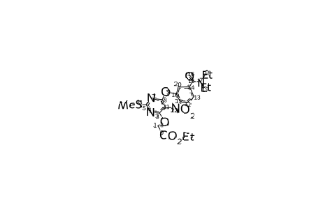 CCOC(=O)COc1nc(SC)nc(Oc2cccc(C(=O)N(CC)CC)c2)c1[N+](=O)[O-]